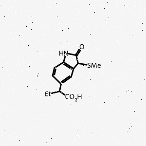 CCC(C(=O)O)c1ccc2c(c1)C(SC)C(=O)N2